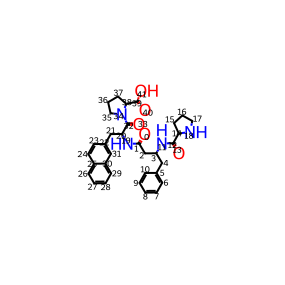 O=C(CC(Cc1ccccc1)NC(=O)C1CCCN1)NC(Cc1ccc2ccccc2c1)C(=O)N1CCCC1C(=O)O